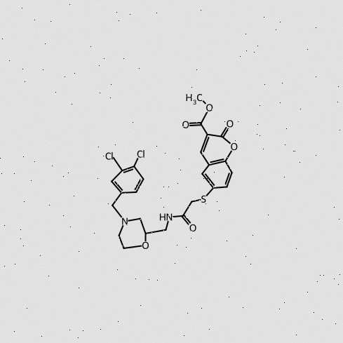 COC(=O)c1cc2cc(SCC(=O)NCC3CN(Cc4ccc(Cl)c(Cl)c4)CCO3)ccc2oc1=O